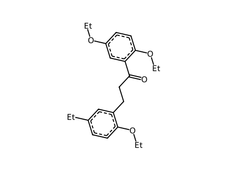 CCOc1ccc(OCC)c(C(=O)CCc2cc(CC)ccc2OCC)c1